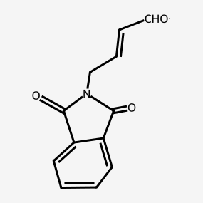 O=[C]C=CCN1C(=O)c2ccccc2C1=O